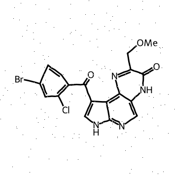 COCc1nc2c(cnc3[nH]cc(C(=O)c4ccc(Br)cc4Cl)c32)[nH]c1=O